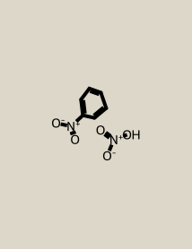 O=[N+]([O-])O.O=[N+]([O-])c1ccccc1